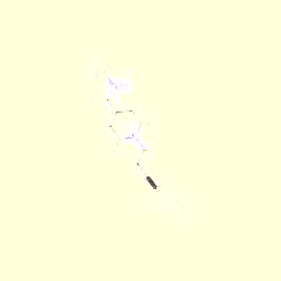 CC#CCCN1CCC(CNCC)CC1